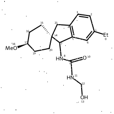 CCc1ccc2c(c1)C(NC(=O)NCO)[C@]1(CC[C@H](OC)CC1)C2